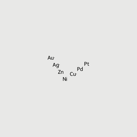 [Ag].[Au].[Cu].[Ni].[Pd].[Pt].[Zn]